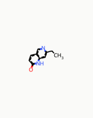 CCc1cc2[nH]c(=O)ccc2cn1